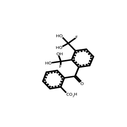 O=C(O)c1ccccc1C(=O)c1cccc(C(O)(O)F)c1C(O)(O)F